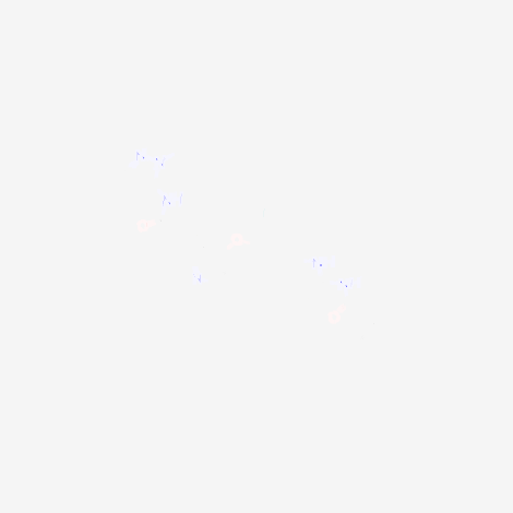 Cc1cc(NC(=O)c2cc3nccc(Oc4ccc(NC(=S)NC(=O)Cc5ccccc5)cc4F)c3s2)n(C)n1